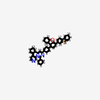 c1ccc(-c2nc(-c3ccc(-c4ccc(-c5ccc6c(c5)sc5ccccc56)c5oc6ccccc6c45)cc3)cc(-c3ccccc3-c3ccncc3)n2)cc1